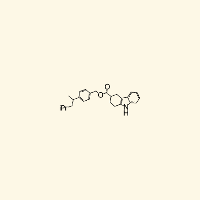 CC(C)CC(C)c1ccc(COC(=O)C2CCc3[nH]c4ccccc4c3C2)cc1